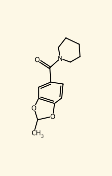 CC1Oc2ccc(C(=O)N3CCCCC3)cc2O1